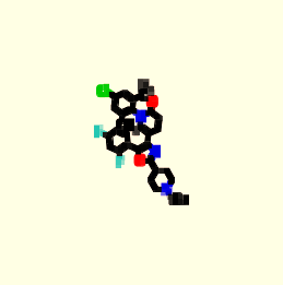 Cc1cc(Cl)cc(C)c1-n1cc(-c2nc(C3CCN(C(C)(C)C)CC3)oc2-c2ccc(F)cc2F)ccc1=O